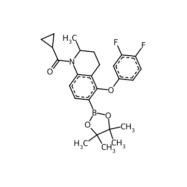 CC1CCc2c(ccc(B3OC(C)(C)C(C)(C)O3)c2Oc2ccc(F)c(F)c2)N1C(=O)C1CC1